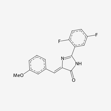 COc1cccc(/C=C2\N=C(c3cc(F)ccc3F)NC2=O)c1